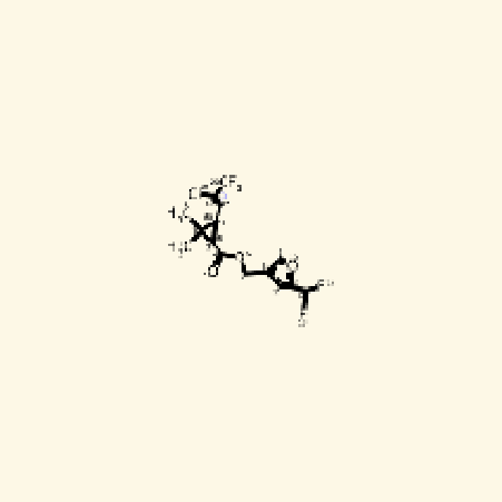 CC1(C)[C@H](C(=O)OCc2coc(C(F)F)c2)[C@@H]1/C=C(\Cl)C(F)(F)F